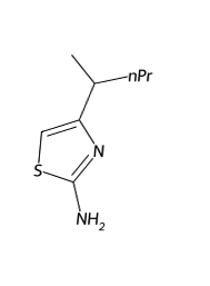 CCCC(C)c1csc(N)n1